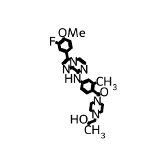 COc1ccc(-c2cnc3c(Nc4ccc(C(=O)N5CCN(CC(C)O)CC5)c(C)c4)nccn23)cc1F